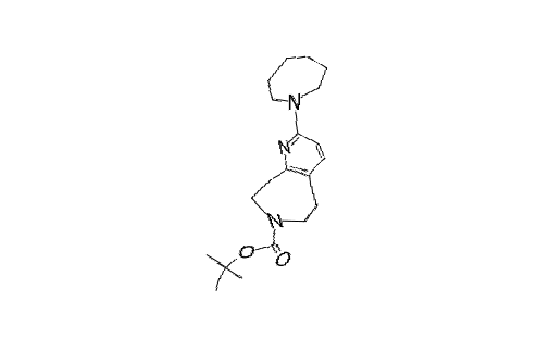 CC(C)(C)OC(=O)N1CCc2ccc(N3CCCCCC3)nc2CC1